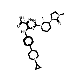 C[C@@H]1[C@H](N2CCN(C)C2=O)CCCN1c1nnc(C(N)=O)c(Nc2ccc(C3CCN(C4CC4)CC3)cc2)n1